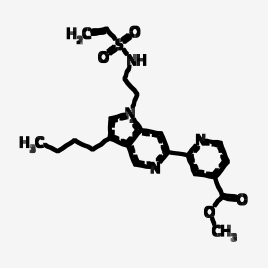 C=CS(=O)(=O)NCCn1cc(CCCC)c2cnc(-c3cc(C(=O)OC)ccn3)cc21